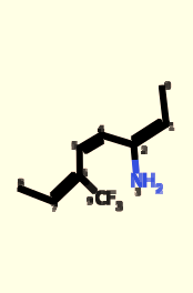 C\C=C(N)/C=C\C(=C/C)C(F)(F)F